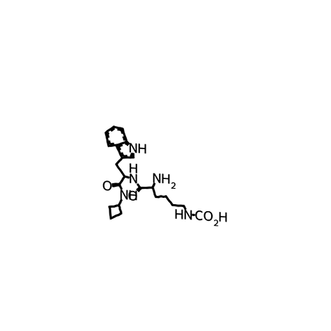 NC(CCCCNC(=O)O)C(=O)NC(Cc1c[nH]c2ccccc12)C(=O)NC1CCC1